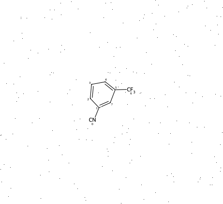 [C-]#[N+]c1cccc(C(F)(F)F)c1